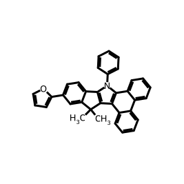 CC1(C)c2cc(-c3ccco3)ccc2-c2c1c1c3ccccc3c3ccccc3c1n2-c1ccccc1